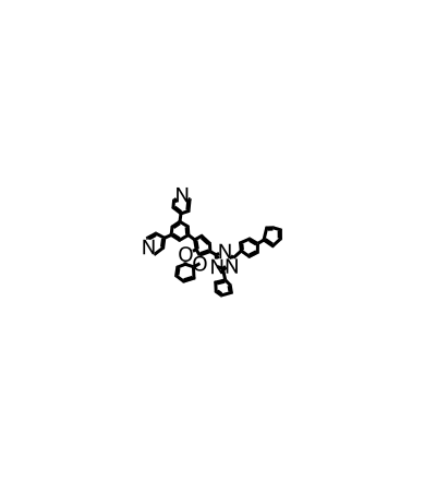 C1=CC2Oc3c(-c4cc(-c5ccncc5)cc(-c5ccncc5)c4)ccc(-c4nc(-c5ccccc5)nc(-c5ccc(-c6ccccc6)cc5)n4)c3OC2C=C1